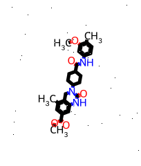 COC(=O)c1cc(C)c2c(c1)NC(=O)N(C1CCC(C(=O)Nc3ccc(C)c(OC)c3)CC1)C2